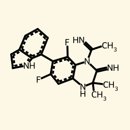 CC(=N)N1C(=N)C(C)(C)Nc2cc(F)c(-c3cccc4cc[nH]c34)c(F)c21